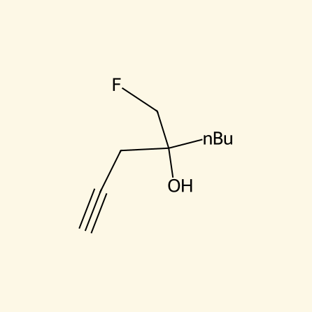 C#CCC(O)(CF)CCCC